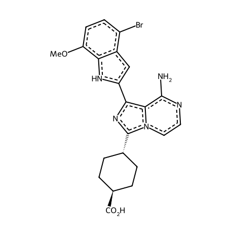 COc1ccc(Br)c2cc(-c3nc([C@H]4CC[C@H](C(=O)O)CC4)n4ccnc(N)c34)[nH]c12